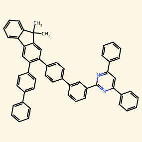 CC1(C)c2ccccc2-c2cc(-c3ccc(-c4ccccc4)cc3)c(-c3ccc(-c4cccc(-c5nc(-c6ccccc6)cc(-c6ccccc6)n5)c4)cc3)cc21